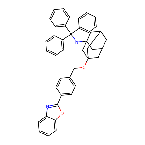 c1ccc(C(NC23CC4CC(C2)CC(OCc2ccc(-c5nc6ccccc6o5)cc2)(C4)C3)(c2ccccc2)c2ccccc2)cc1